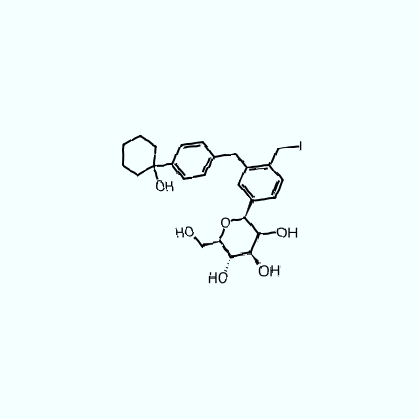 OC[C@H]1O[C@@H](c2ccc(CI)c(Cc3ccc(C4(O)CCCCC4)cc3)c2)C(O)[C@@H](O)[C@@H]1O